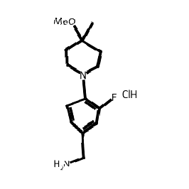 COC1(C)CCN(c2ccc(CN)cc2F)CC1.Cl